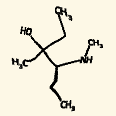 CCC(NC)C(C)(O)CC